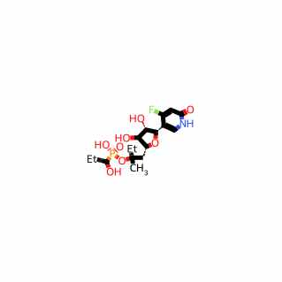 CCC(O)P(=O)(O)OC(C)(CC)C[C@H]1O[C@@H](c2c[nH]c(=O)cc2F)[C@@H](O)C1O